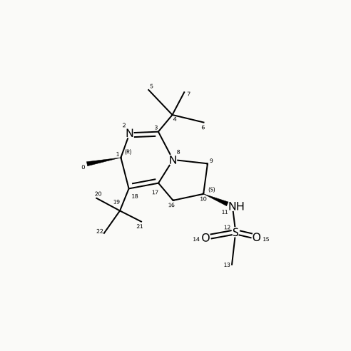 C[C@H]1N=C(C(C)(C)C)N2C[C@@H](NS(C)(=O)=O)CC2=C1C(C)(C)C